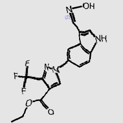 CCOC(=O)c1cn(-c2ccc3[nH]cc(/C=N\O)c3c2)nc1C(F)(F)F